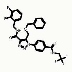 O=C(NCC(F)(F)F)c1ccc(-n2nnc(C(=O)NCc3cccc(F)c3F)c2COCc2ccccc2)cc1